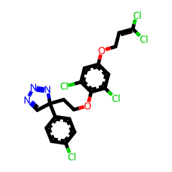 ClC(Cl)=CCOc1cc(Cl)c(OCCC2(c3ccc(Cl)cc3)C=NN=N2)c(Cl)c1